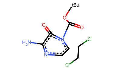 CC(C)(C)OC(=O)n1ccnc(N)c1=O.ClCCCl